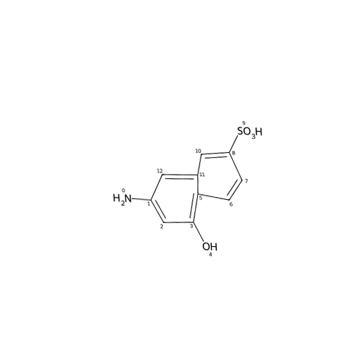 Nc1cc(O)c2ccc(S(=O)(=O)O)cc2c1